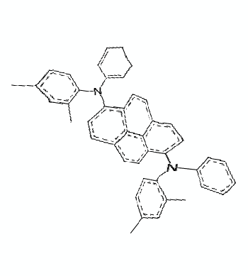 Cc1ccc(N(C2=CCCC=C2)c2ccc3ccc4c(N(c5ccccc5)c5ccc(C)cc5C)ccc5ccc2c3c54)c(C)c1